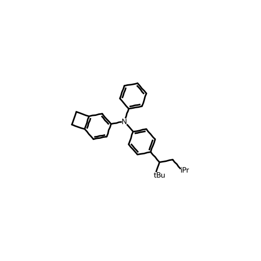 CC(C)CC(c1ccc(N(c2ccccc2)c2ccc3c(c2)CC3)cc1)C(C)(C)C